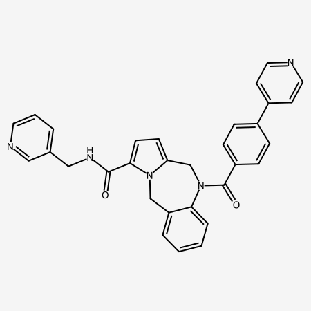 O=C(NCc1cccnc1)c1ccc2n1Cc1ccccc1N(C(=O)c1ccc(-c3ccncc3)cc1)C2